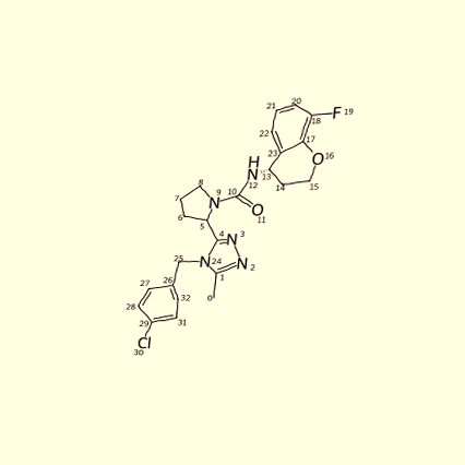 Cc1nnc(C2CCCN2C(=O)N[C@H]2CCOc3c(F)cccc32)n1Cc1ccc(Cl)cc1